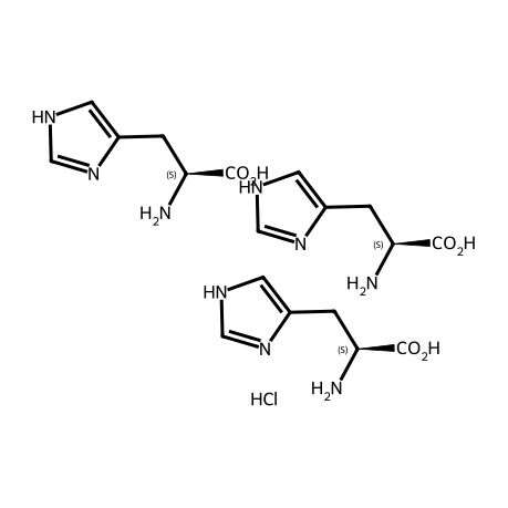 Cl.N[C@@H](Cc1c[nH]cn1)C(=O)O.N[C@@H](Cc1c[nH]cn1)C(=O)O.N[C@@H](Cc1c[nH]cn1)C(=O)O